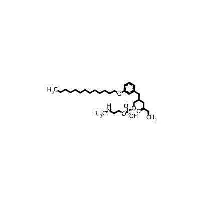 CCCCCCCCCCCCCOc1cccc(CC(COP(=O)(O)OCCNC)CC(=O)CC)c1